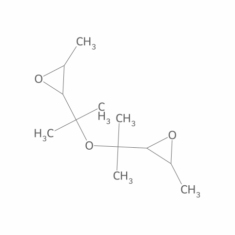 CC1OC1C(C)(C)OC(C)(C)C1OC1C